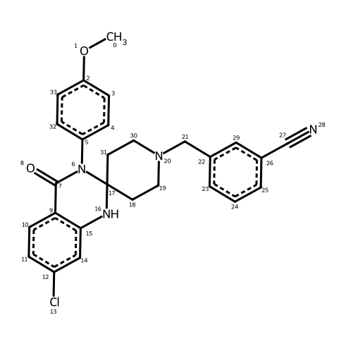 COc1ccc(N2C(=O)c3ccc(Cl)cc3NC23CCN(Cc2cccc(C#N)c2)CC3)cc1